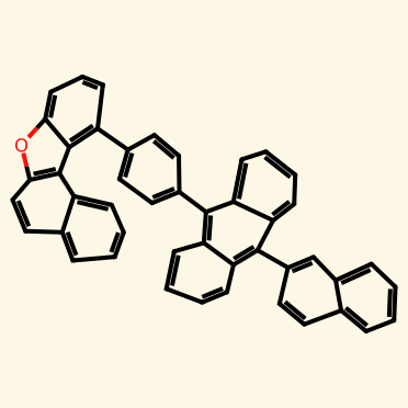 c1ccc2cc(-c3c4ccccc4c(-c4ccc(-c5cccc6oc7ccc8ccccc8c7c56)cc4)c4ccccc34)ccc2c1